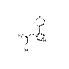 CN(CCN)Cc1c[nH]nc1C1=CCOCC1